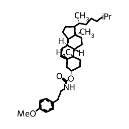 COc1ccc(CCNC(=O)O[C@H]2CC[C@@]3(C)C(=CC[C@H]4C5CCC([C@H](C)CCCC(C)C)[C@@]5(C)CC[C@@H]43)C2)cc1